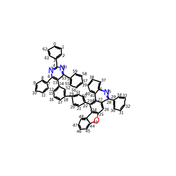 c1ccc(-c2nc(-c3ccccc3)c(-c3cccc(-c4ccc(-c5c6c(cc7c(-c8ccccc8)nc8ccccc8c57)oc5ccccc56)cc4)c3)c(-c3ccccc3)n2)cc1